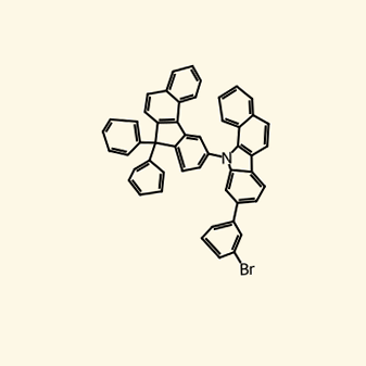 Brc1cccc(-c2ccc3c4ccc5ccccc5c4n(-c4ccc5c(c4)-c4c(ccc6ccccc46)C5(c4ccccc4)c4ccccc4)c3c2)c1